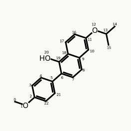 COc1ccc(-c2ccc3cc(OC(C)C)ccc3c2O)cc1